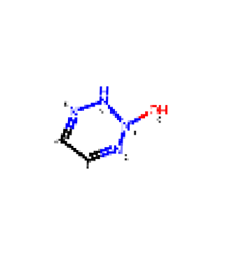 ON1N=CC=NN1